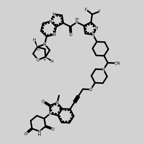 Cn1c(=O)n(C2CCC(=O)NC2=O)c2cccc(C#CCOC3CCN(C(C#N)C4CCC(n5cc(NC(=O)c6cnn7ccc(N8C[C@H]9C[C@@H]8CO9)nc67)c(C(F)F)n5)CC4)CC3)c21